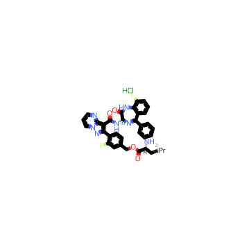 CC(C)C[C@@H](N)C(=O)OCc1ccc(-c2nn3cccnc3c2C(=O)N[C@H]2N=C(c3ccccc3)c3cccc(F)c3NC2=O)c(F)c1.Cl